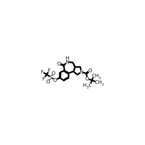 CC(C)(C)OC(=O)N1CC2CNC(=O)c3cc(OS(=O)(=O)C(F)(F)F)ccc3C2C1